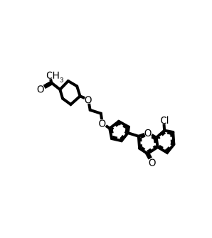 CC(=O)C1CCC(OCCOc2ccc(-c3cc(=O)c4cccc(Cl)c4o3)cc2)CC1